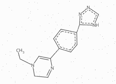 CCN1C=C(c2ccc(-c3nnc[nH]3)cc2)N=CC1